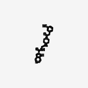 N#Cc1cccc(CC(=O)N2CCC3(CC2)CC3CNC(=O)c2cc3cnccc3[nH]2)c1